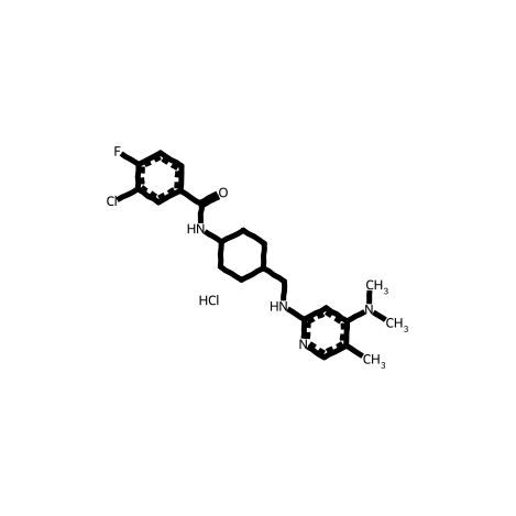 Cc1cnc(NCC2CCC(NC(=O)c3ccc(F)c(Cl)c3)CC2)cc1N(C)C.Cl